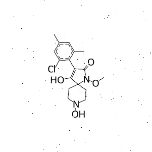 CON1C(=O)C(c2c(C)cc(C)cc2Cl)=C(O)C12CCN(O)CC2